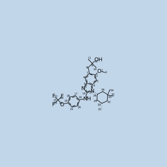 COc1cc2c(cc1CC(C)(C)O)nc(Nc1ccc(OC(F)(F)F)cc1)n2[C@H]1C[C@@H](C)CC(C)(C)C1